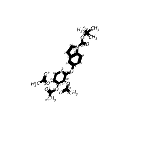 CC(=O)O[C@H]1[C@H](OC(C)=O)CSC(Oc2ccc3c(ccn3C(=O)OC(C)(C)C)c2)[C@@H]1OC(C)=O